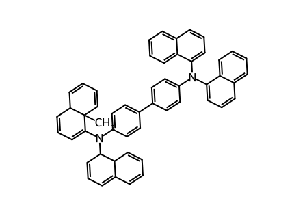 CC12C=CC=CC1C=CC=C2N(c1ccc(-c2ccc(N(c3cccc4ccccc34)c3cccc4ccccc34)cc2)cc1)C1C=CC=C2C=CC=CC21